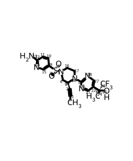 CC#C[C@H]1CN(S(=O)(=O)c2ccc(N)nc2)CCN1c1ncc([C@](C)(O)C(F)(F)F)cn1